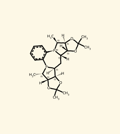 C[C@H]1[C@H]2OC(C)(C)O[C@@H]2[C@@H]2C[C@H]3[C@H]4OC(C)(C)O[C@@H]4[C@H](C)[P@]3c3ccccc3P12